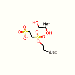 CCCCCCCCCCCCOS(=O)(=O)CCS(=O)(=O)[O-].OCCO.[Na+]